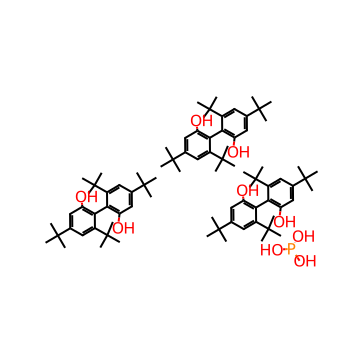 CC(C)(C)c1cc(O)c(-c2c(O)cc(C(C)(C)C)cc2C(C)(C)C)c(C(C)(C)C)c1.CC(C)(C)c1cc(O)c(-c2c(O)cc(C(C)(C)C)cc2C(C)(C)C)c(C(C)(C)C)c1.CC(C)(C)c1cc(O)c(-c2c(O)cc(C(C)(C)C)cc2C(C)(C)C)c(C(C)(C)C)c1.OP(O)O